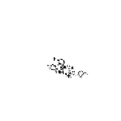 C=Cc1cnc(COc2nnc(NC(=O)c3cnc(C)cc3-c3c(F)cccc3OC)s2)cn1